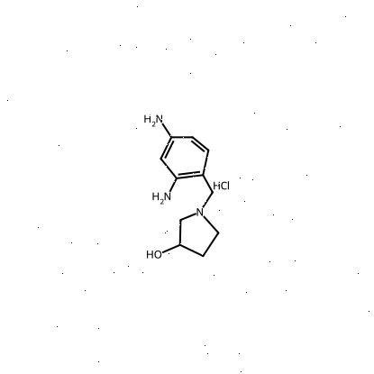 Cl.Nc1ccc(CN2CCC(O)C2)c(N)c1